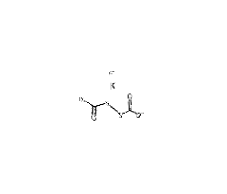 O=C([O-])SSC(=O)[O-].[K+].[K+]